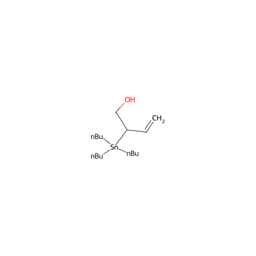 C=C[CH](CO)[Sn]([CH2]CCC)([CH2]CCC)[CH2]CCC